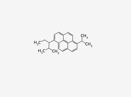 CCC(c1ccc2ccc3c(C(C)C)ccc4ccc1c2c43)C(C)C